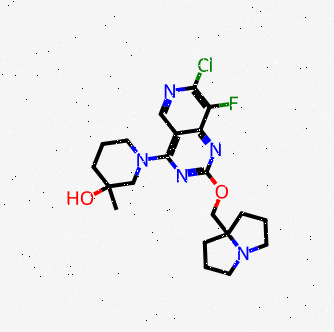 CC1(O)CCCN(c2nc(OCC34CCCN3CCC4)nc3c(F)c(Cl)ncc23)C1